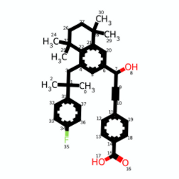 CC(C)(Cc1cc(C(O)C#Cc2ccc(C(=O)O)cc2)cc2c1C(C)(C)CCC2(C)C)c1ccc(F)cc1